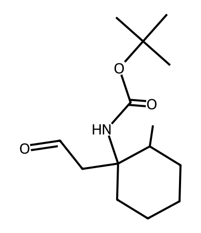 CC1CCCCC1(CC=O)NC(=O)OC(C)(C)C